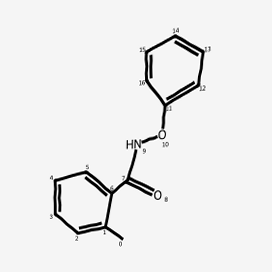 Cc1ccccc1C(=O)NOc1ccccc1